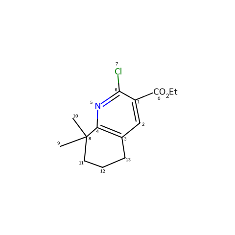 CCOC(=O)c1cc2c(nc1Cl)C(C)(C)CCC2